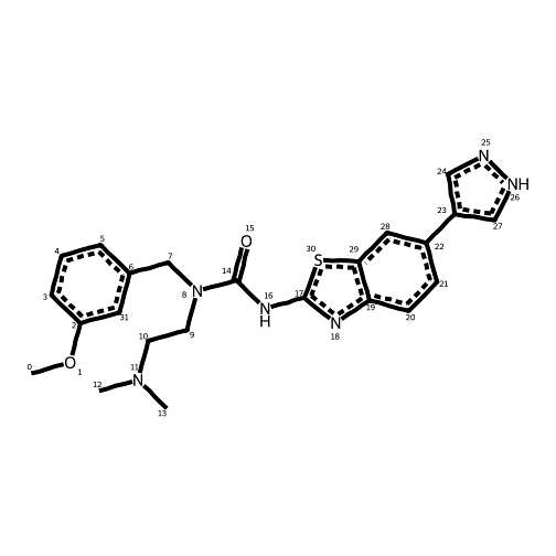 COc1cccc(CN(CCN(C)C)C(=O)Nc2nc3ccc(-c4cn[nH]c4)cc3s2)c1